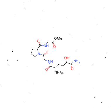 COC(=O)CNC(=O)[C@@H]1CCCN1C(=O)CNC(=O)[C@H](CCC(O)C(N)=O)NC(C)=O